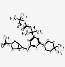 CC1(C)CCN(c2cc(C(C)(C)NC(=O)OC(C)(C)C)cc(OC3C4CN(C(=O)O)CC43)n2)CC1